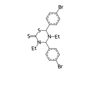 CCN1C(=S)SC(c2ccc(Br)cc2)N(CC)C1c1ccc(Br)cc1